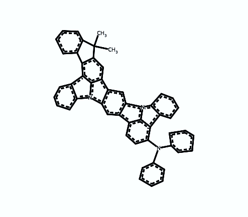 CC1(C)c2ccccc2-c2c1cc1c3cc4c(cc3n3c5ccccc5c2c13)c1ccc(N(c2ccccc2)c2ccccc2)c2c3ccccc3n4c12